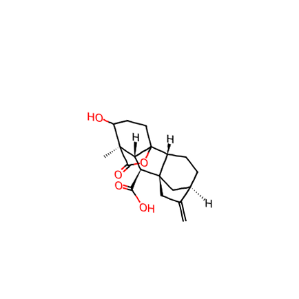 C=C1C[C@]23C[C@H]1CC[C@H]2C12CCC(O)[C@](C)(C(=O)O1)[C@H]2[C@@H]3C(=O)O